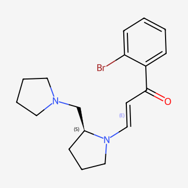 O=C(/C=C/N1CCC[C@H]1CN1CCCC1)c1ccccc1Br